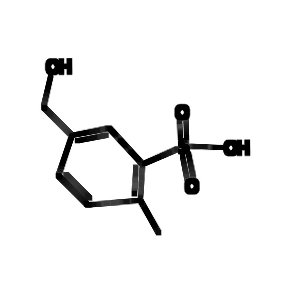 Cc1ccc(CO)cc1S(=O)(=O)O